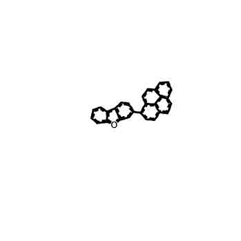 c1cc2ccc3ccc(-c4ccc5c(c4)oc4ccccc45)c4ccc(c1)c2c34